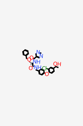 CC(O)c1ccc(Oc2ccc(CNC(=O)[C@H](COCc3ccccc3)NC(=O)c3cncnc3)cc2)c(Cl)c1